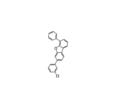 Clc1cccc(-c2ccc3c(c2)oc2c(-c4ccccc4)cccc23)c1